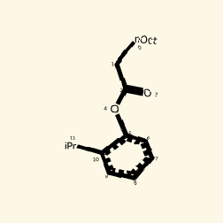 CCCCCCCCCC(=O)Oc1ccccc1C(C)C